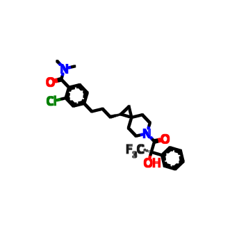 CN(C)C(=O)c1ccc(CCC[C@H]2CC23CCN(C(=O)[C@](O)(c2ccccc2)C(F)(F)F)CC3)cc1Cl